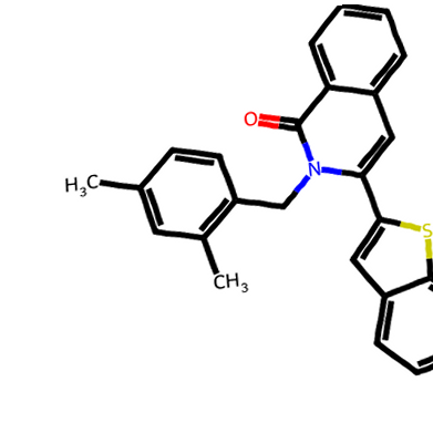 Cc1ccc(Cn2c(-c3cc4ccccc4s3)cc3ccccc3c2=O)c(C)c1